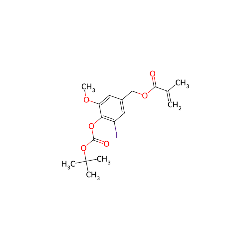 C=C(C)C(=O)OCc1cc(I)c(OC(=O)OC(C)(C)C)c(OC)c1